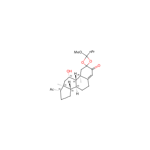 CCCC1(OC)OC2(C[C@@]3(C)C(=CC2=O)CC[C@@H]2[C@@H]3[C@@H](O)C[C@]3(C)[C@@H](C(C)=O)CC[C@@H]23)O1